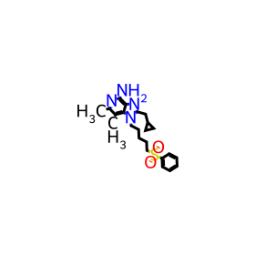 Cc1nc(N)c2nc(CC3CC3)n(CCCCCS(=O)(=O)c3ccccc3)c2c1C